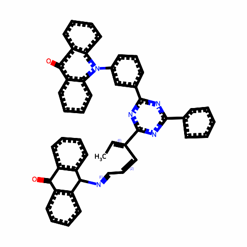 C\C=C(/C=C\C=N\C1c2ccccc2C(=O)c2ccccc21)c1nc(-c2ccccc2)nc(-c2cccc(-n3c4ccccc4c(=O)c4ccccc43)c2)n1